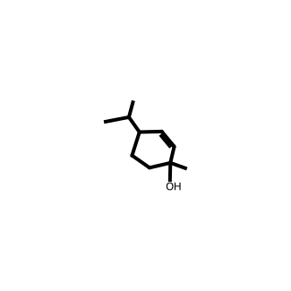 CC(C)C1C=CC(C)(O)CC1